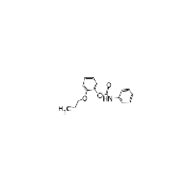 CCCOc1ccccc1OC(=O)Nc1ccccc1